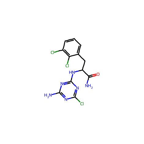 NC(=O)C(Cc1cccc(Cl)c1Cl)Nc1nc(N)nc(Cl)n1